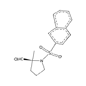 C[C@@]1([C]=O)CCCN1S(=O)(=O)c1ccc2ccccc2c1